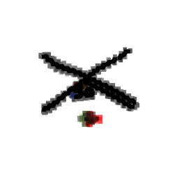 CCCCCCCCCCCCCCCCc1c(CCCCCCCCCCCCCCCC)c(CCCCCCCCCCCCCCCC)c(P(c2ccccc2)c2ccccc2-c2ccncc2)c(CCCCCCCCCCCCCCCC)c1CCCCCCCCCCCCCCCC.O=S(=O)(O)C(F)(F)F